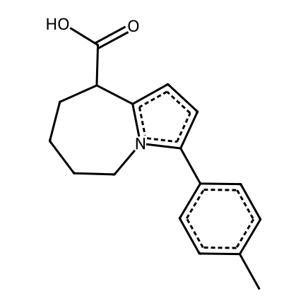 Cc1ccc(-c2ccc3n2CCCCC3C(=O)O)cc1